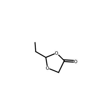 CCC1OCC(=O)O1